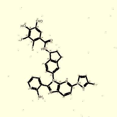 Nc1ncccc1-c1nc2ccc(-n3ccc(F)n3)nc2n1-c1ccc2c(c1)CC[C@@H]2NC(=O)c1cc(C=O)c(O)c(F)c1F